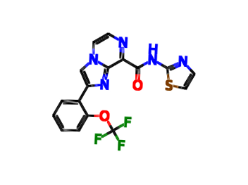 O=C(Nc1nccs1)c1nccn2cc(-c3ccccc3OC(F)(F)F)nc12